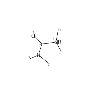 CN(C)C(Cl)[SiH](C)C